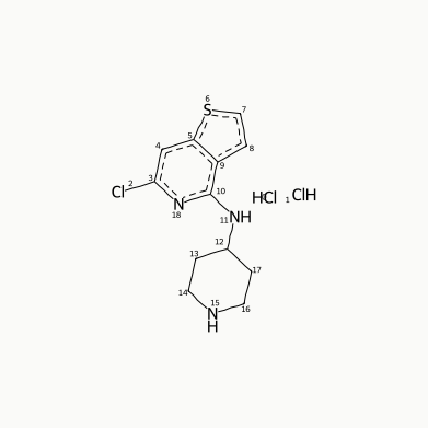 Cl.Cl.Clc1cc2sccc2c(NC2CCNCC2)n1